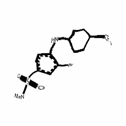 CNS(=O)(=O)c1ccc(NC2CCC(C(F)(F)F)CC2)c(Br)c1